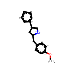 COc1ccc(CC2CC(c3ccccc3)CN2)cc1